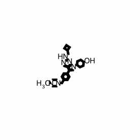 CN1CCN(Cc2ccc(-c3cn([C@H]4CC[C@H](O)CC4)c4nc(NCC5CCC5)ncc34)cc2)CC1